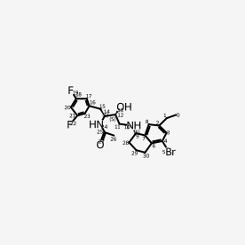 CCc1cc(Br)c2c(c1)[C@@H](NC[C@H](O)[C@H](Cc1cc(F)cc(F)c1)NC(C)=O)CCC2